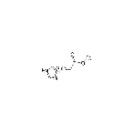 C=CC(=O)OCC.c1c[nH]cn1